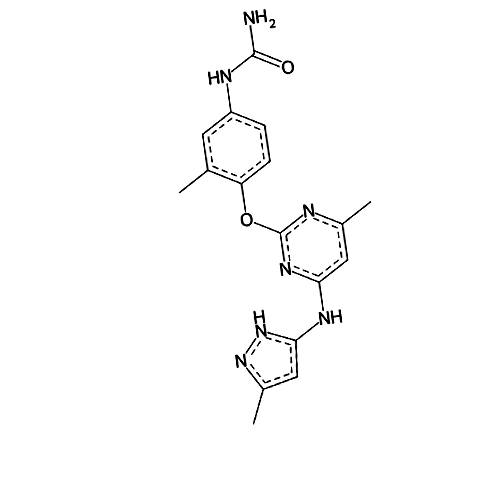 Cc1cc(Nc2cc(C)nc(Oc3ccc(NC(N)=O)cc3C)n2)[nH]n1